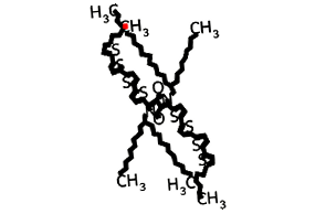 CCCCCCCCCCCCC(CCCCCCCCCC)CN1C(=O)C2=C(c3ccc(-c4ccc(-c5ccc(-c6ccc(CCCCCC)s6)s5)s4)s3)N(CC(CCCCCCCCCC)CCCCCCCCCCCC)C(=O)C2=C1c1ccc(-c2ccc(-c3ccc(-c4ccc(CCCCCC)s4)s3)s2)s1